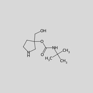 CC(C)(C)NC(=O)OC1(CO)CCNC1